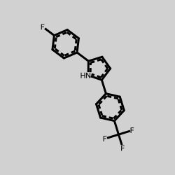 Fc1ccc(-c2ccc(-c3ccc(C(F)(F)F)cc3)[nH]2)cc1